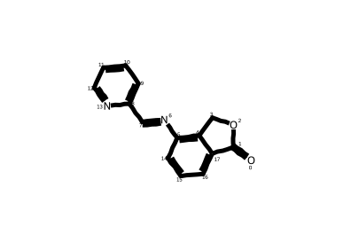 O=C1OCc2c(N=Cc3ccccn3)cccc21